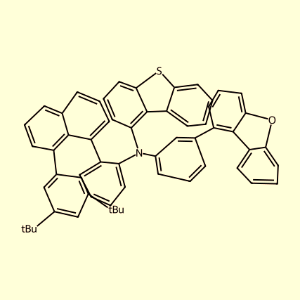 CC(C)(C)c1cc(-c2cccc3cccc(-c4ccccc4N(c4cccc(-c5cccc6oc7ccccc7c56)c4)c4cccc5sc6ccccc6c45)c23)cc(C(C)(C)C)c1